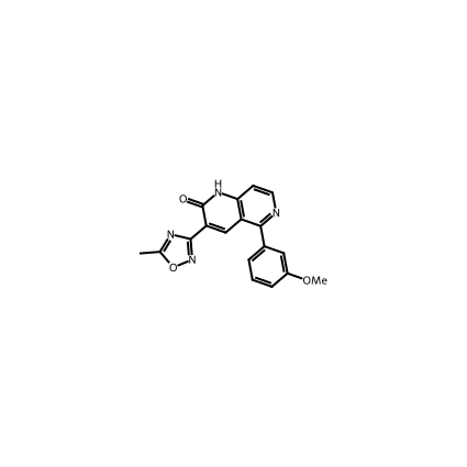 COc1cccc(-c2nccc3[nH]c(=O)c(-c4noc(C)n4)cc23)c1